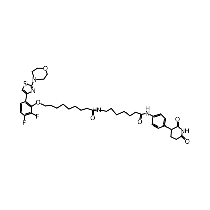 O=C(CCCCCCCCOc1c(-c2csc(N3CCOCC3)n2)ccc(F)c1F)NCCCCCCC(=O)Nc1ccc(C2CCC(=O)NC2=O)cc1